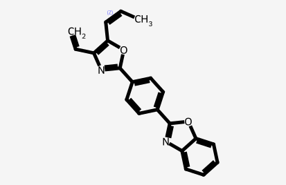 C=Cc1nc(-c2ccc(-c3nc4ccccc4o3)cc2)oc1/C=C\C